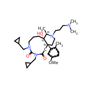 COc1ccc(C)c([C@]23CCN(CCCN(C)C)[C@H](C)[C@]2(O)CCCN(CC2CC2)C(=O)N(CC2CC2)C(=O)C3)c1